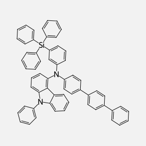 c1ccc(-c2ccc(-c3ccc(N(c4cccc([Si](c5ccccc5)(c5ccccc5)c5ccccc5)c4)c4cccc5c4c4ccccc4n5-c4ccccc4)cc3)cc2)cc1